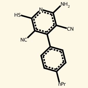 CCCc1ccc(-c2c(C#N)c(N)nc(S)c2C#N)cc1